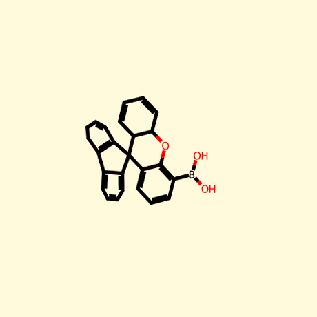 OB(O)c1cccc2c1OC1C=CC=CC1C21C2=C(CCC=C2)c2ccccc21